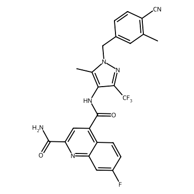 Cc1cc(Cn2nc(C(F)(F)F)c(NC(=O)c3cc(C(N)=O)nc4cc(F)ccc34)c2C)ccc1C#N